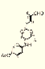 CC(=O)O[C@@H](C)/C=C\C(=O)N[C@@H]1CO[C@H](C/C=C(\C)C=O)O[C@@H]1C